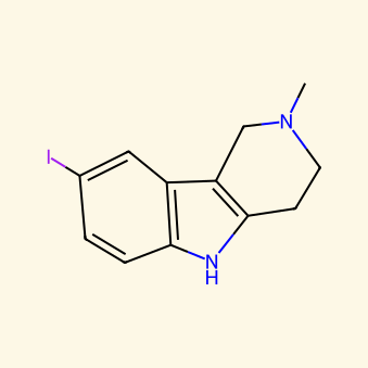 CN1CCc2[nH]c3ccc(I)cc3c2C1